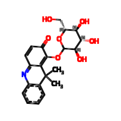 CC1(C)C2=C(OC3O[C@H](CO)[C@@H](O)[C@H](O)[C@H]3O)C(=O)C=CC2=Nc2ccccc21